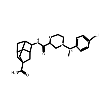 C[C@H](c1ccc(Cl)cc1)N1CCOC(C(=O)NC2C3CC4CC2CC(C(N)=O)(C4)C3)C1